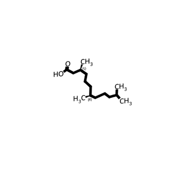 CC(C)CCC[C@@H](C)CCC[C@H](C)CC(=O)O